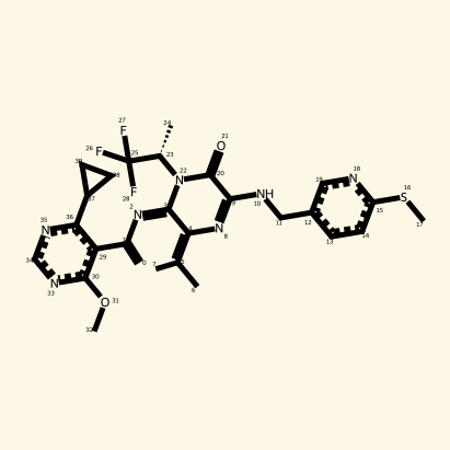 C=C(/N=C1\C(=C(C)C)N=C(NCc2ccc(SC)nc2)C(=O)N1[C@@H](C)C(F)(F)F)c1c(OC)ncnc1C1CC1